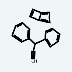 C#CC(c1ccccc1)c1ccccc1.c1cc2ccc1-2